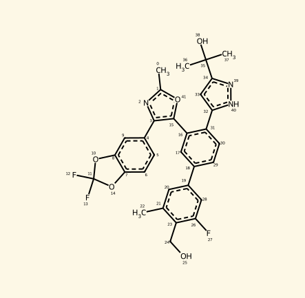 Cc1nc(-c2ccc3c(c2)OC(F)(F)O3)c(-c2cc(-c3cc(C)c(CO)c(F)c3)ccc2-c2cc(C(C)(C)O)n[nH]2)o1